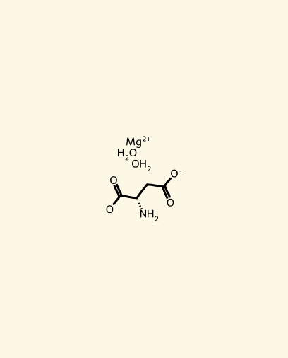 N[C@@H](CC(=O)[O-])C(=O)[O-].O.O.[Mg+2]